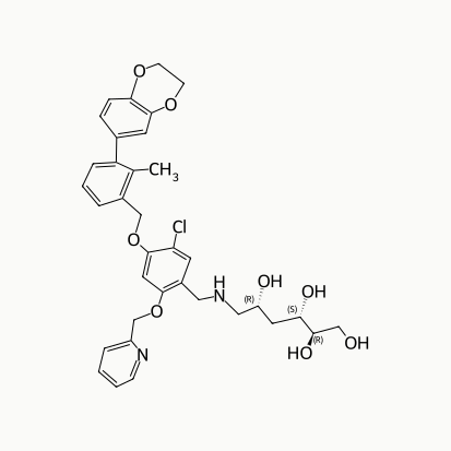 Cc1c(COc2cc(OCc3ccccn3)c(CNC[C@H](O)C[C@H](O)[C@H](O)CO)cc2Cl)cccc1-c1ccc2c(c1)OCCO2